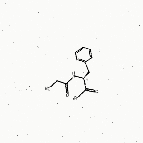 CC(C)C(=O)[C@H](Cc1ccccc1)NC(=O)CC#N